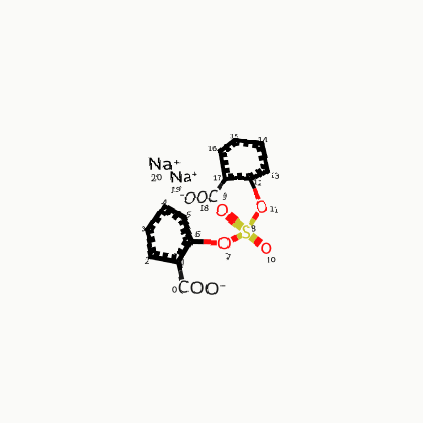 O=C([O-])c1ccccc1OS(=O)(=O)Oc1ccccc1C(=O)[O-].[Na+].[Na+]